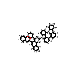 c1ccc(-c2nc(-n3c4cccc5c6cccc7c8ccccc8n(c8cccc3c8c54)c67)nc3c2c(-c2ccc4ccccc4c2)cc2ccccc23)cc1